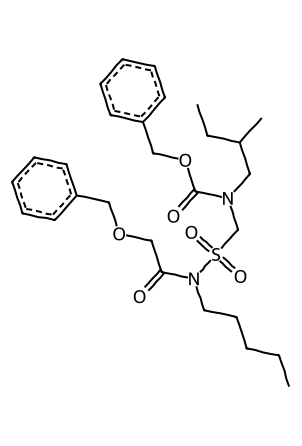 CCCCCN(C(=O)COCc1ccccc1)S(=O)(=O)CN(CC(C)CC)C(=O)OCc1ccccc1